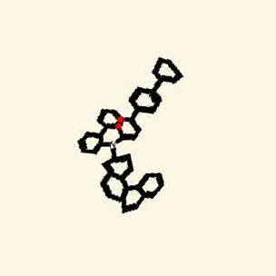 c1ccc(-c2ccc(-c3ccc(N(c4ccc5c(ccc6ccc7ccccc7c65)c4)c4ccccc4-c4ccccc4)cc3)cc2)cc1